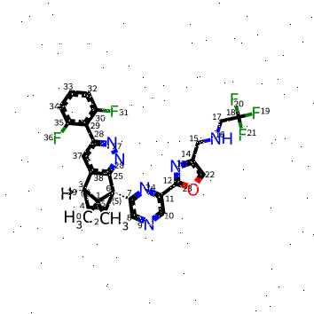 CC1(C)[C@H]2CC[C@]1(c1cncc(-c3nc(CNCC(F)(F)F)co3)n1)c1nnc(-c3c(F)cccc3F)cc12